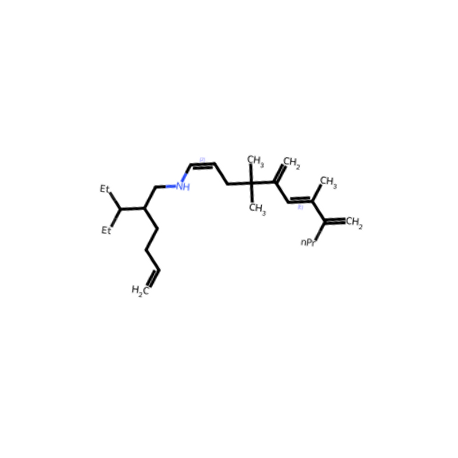 C=CCCC(CN/C=C\CC(C)(C)C(=C)/C=C(\C)C(=C)CCC)C(CC)CC